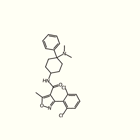 Cc1onc(-c2c(Cl)cccc2Cl)c1C(=O)NC1CCC(c2ccccc2)(N(C)C)CC1